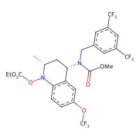 CCOC(=O)ON1c2ccc(OC(F)(F)F)cc2[C@@H](N(Cc2cc(C(F)(F)F)cc(C(F)(F)F)c2)C(=O)OC)C[C@H]1C